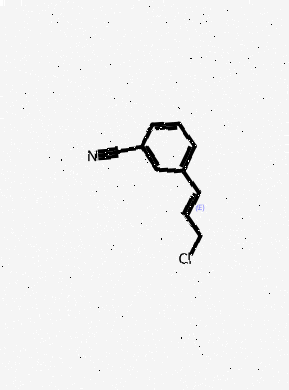 N#Cc1cccc(/C=C/CCl)c1